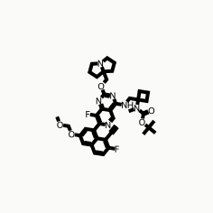 C#Cc1c(F)ccc2cc(OCOC)cc(-c3ncc4c(NCC5(N(C)C(=O)OC(C)(C)C)CCC5)nc(OCC56CCCN5CCC6)nc4c3F)c12